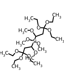 CCOC(CC(OC)[Si](OC)(OC)C(CC(OCC)(OCC)OCC)OC)(OCC)OCC